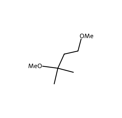 COCCC(C)(C)OC